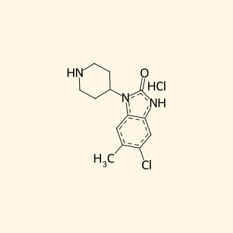 Cc1cc2c(cc1Cl)[nH]c(=O)n2C1CCNCC1.Cl